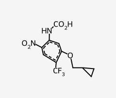 O=C(O)Nc1cc(OCC2CC2)c(C(F)(F)F)cc1[N+](=O)[O-]